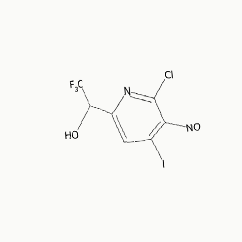 O=Nc1c(I)cc(C(O)C(F)(F)F)nc1Cl